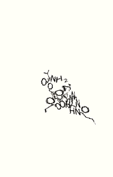 C=NC[C@@]1(c2ccc3c(NC(=O)CCC)ncnn23)O[C@H](COC(=O)[C@@H](N)C(C)C)[C@@H](OC(=O)CC)[C@H]1O